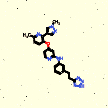 Cc1ccc(Oc2ccnc(Nc3cccc(CCc4nn[nH]n4)c3)c2)c(-c2cnn(C)c2)n1